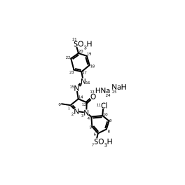 CC1=NN(c2cc(S(=O)(=O)O)ccc2Cl)C(=O)C1N=Nc1ccc(S(=O)(=O)O)cc1.[NaH].[NaH]